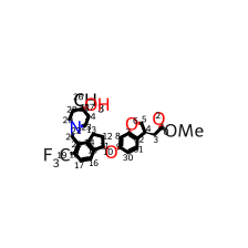 COC(=O)C[C@@H]1COc2cc(O[C@@H]3CCc4c3ccc(C(F)(F)F)c4CN3CCC(C)(O)CC3)ccc21